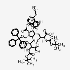 CC(C[C@@H]1[C@H](CC(C)[C@H](NC(=O)OC(C)(C)C)C(=O)O)[C@@H](c2c[nH]c3c(N=[N+]=[N-])ncnc23)N(C(=O)OC(C)(C)C)[C@H]1COC(c1ccccc1)(c1ccccc1)c1ccccc1)C(NC(=O)OC(C)(C)C)C(=O)O